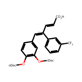 CCCCCCCCCCOc1ccc(/C=C(/C=CC(=O)O)c2cccc(C(F)(F)F)c2)cc1OCCCCCCCCCC